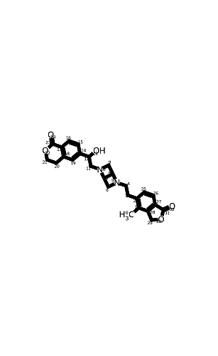 Cc1c(CCN2CC3C2CN3CC(O)c2ccc3c(c2)CCOC3=O)ccc2c1COC2=O